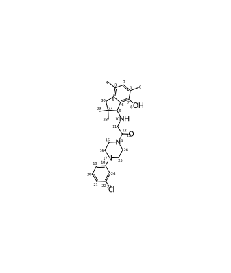 Cc1cc(C)c2c(c1O)C(NCC(=O)N1CCN(c3cccc(Cl)c3)CC1)C(C)(C)C2